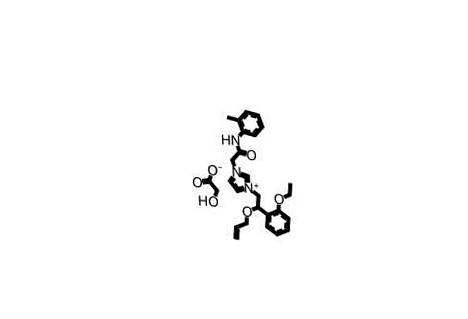 C=CCOC(C[n+]1ccn(CC(=O)Nc2ccccc2C)c1)c1ccccc1OCC.O=C([O-])CO